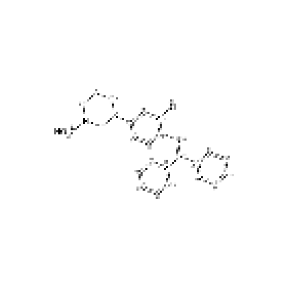 O=C(O)N1CCOC(c2ccc(N=C(c3ccccc3)c3ccccc3)c(Cl)c2)C1